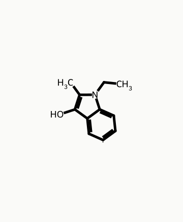 CCn1c(C)c(O)c2c[c]ccc21